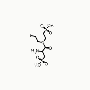 NC(CS(=O)(=O)O)C(=O)N(CCI)CCS(=O)(=O)O